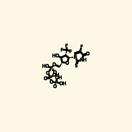 O=c1[nH]c(=S)n([C@@H]2O[C@H](COP(=O)(O)OP(=O)(O)OP(=O)(O)O)C(O)[C@@H]2C(F)(F)F)cc1F